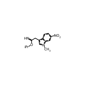 CC(C)OC(=N)Cc1cn(C)c2cc([N+](=O)[O-])ccc12